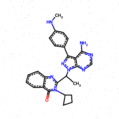 CNc1ccc(-c2nn(C(C)c3nc4ccccc4c(=O)n3C3CCC3)c3ncnc(N)c23)cc1